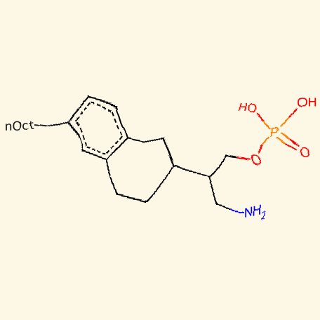 CCCCCCCCc1ccc2c(c1)CCC(C(CN)COP(=O)(O)O)C2